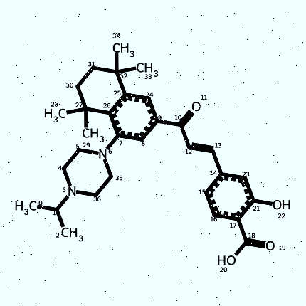 CC(C)N1CCN(c2cc(C(=O)C=Cc3ccc(C(=O)O)c(O)c3)cc3c2C(C)(C)CCC3(C)C)CC1